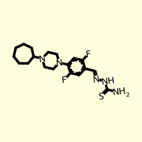 NC(=S)N/N=C/c1cc(F)c(N2CCN(C3CCCCCC3)CC2)cc1F